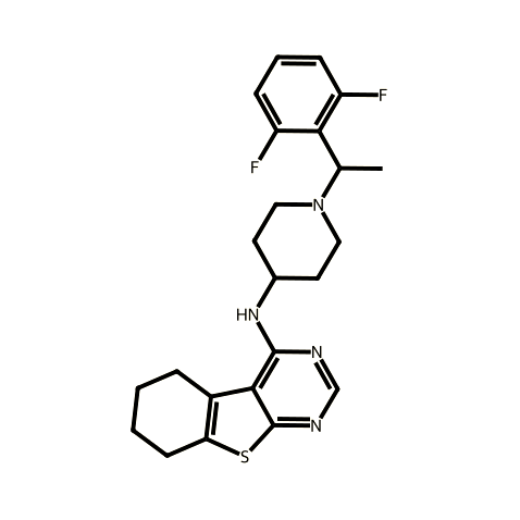 CC(c1c(F)cccc1F)N1CCC(Nc2ncnc3sc4c(c23)CCCC4)CC1